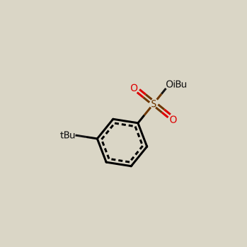 CC(C)COS(=O)(=O)c1cccc(C(C)(C)C)c1